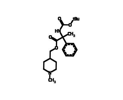 CN1CCC(COC(=O)C(C)(NC(=O)OC(C)(C)C)c2ccccc2)CC1